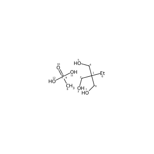 CCC(CO)(CO)CO.CP(=O)(O)O